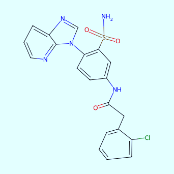 NS(=O)(=O)c1cc(NC(=O)Cc2ccccc2Cl)ccc1-n1cnc2cccnc21